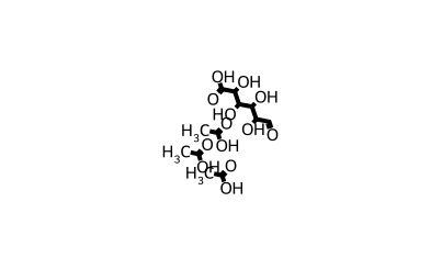 CC(=O)O.CC(=O)O.CC(=O)O.O=CC(O)C(O)C(O)C(O)C(=O)O